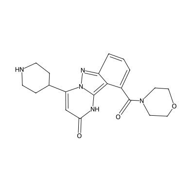 O=C(c1cccc2nn3c(C4CCNCC4)cc(=O)[nH]c3c12)N1CCOCC1